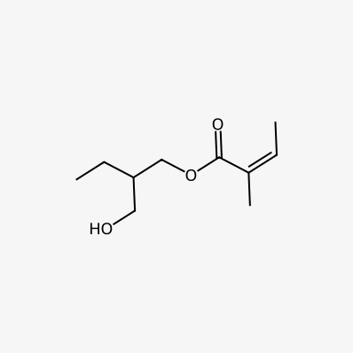 CC=C(C)C(=O)OCC(CC)CO